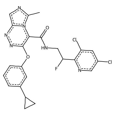 Cc1ncc2nnc(Oc3cccc(C4CC4)c3)c(C(=O)NCC(F)c3ncc(Cl)cc3Cl)n12